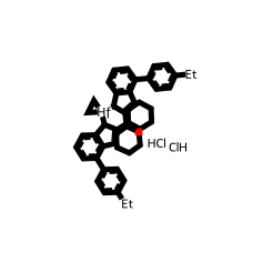 CCc1ccc(-c2cccc3c2C=C(C2CCCCC2)[CH]3[Hf]2([CH]3C(C4CCCCC4)=Cc4c(-c5ccc(CC)cc5)cccc43)[CH2][CH2]2)cc1.Cl.Cl